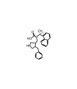 C[C@H](c1cccc2ccccc12)N(CC1CNCC1Cc1ccccc1)C(=O)O